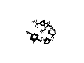 N#Cc1ccc(COc2cccc(OC3CCN(Cc4nc5ccc(C(=O)O)cc5n4CC4CCO4)CC3)c2)c(F)c1